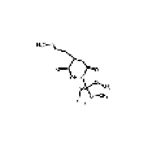 CCCCC(CC(=O)O[Si](OC)(OC)OC)C(=O)O